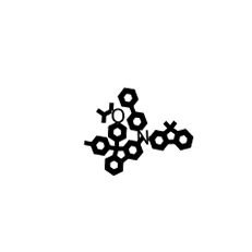 Cc1ccc(C2(c3ccc(OC(C)C(C)C)cc3)c3ccccc3-c3ccc(N(c4ccc(-c5ccccc5)cc4)c4ccc5c(c4)C(C)(C)c4ccccc4-5)cc32)cc1